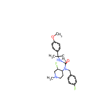 COc1ccc(C(C)(C)NC(=O)N(Cc2ccc(F)cc2)[C@H]2CCN(C)C[C@H]2F)cc1